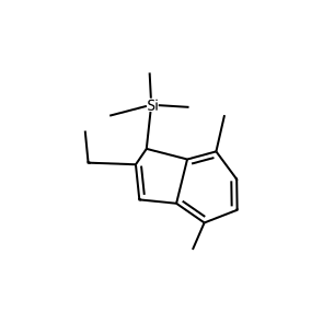 CCC1=Cc2c(C)ccc(C)c2C1[Si](C)(C)C